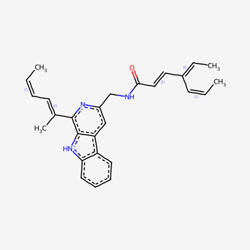 C/C=C\C=C(/C)c1nc(CNC(=O)/C=C/C(/C=C\C)=C/C)cc2c1[nH]c1ccccc12